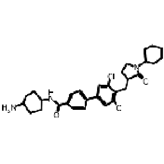 NC1CCC(NC(=O)c2ccc(-c3cc(Cl)c(CC4CCN(C5CCCCC5)C4=O)c(Cl)c3)cc2)CC1